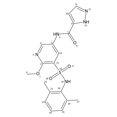 COc1ncc(NC(=O)c2ccn[nH]2)cc1S(=O)(=O)Nc1c(C)cccc1C